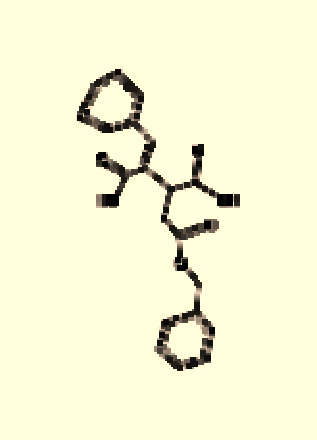 O=C(CC(C(=O)O)C(=Cc1ccccc1)C(=O)O)OCc1ccccc1